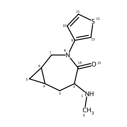 CNC1CC2CC2CN(c2ccsc2)C1=O